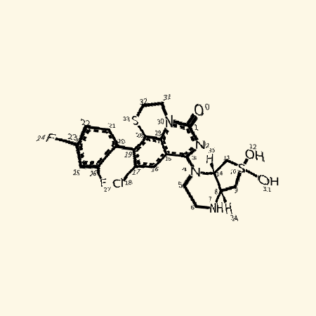 O=c1nc(N2CCN[C@H]3CS(O)(O)C[C@H]32)c2cc(Cl)c(-c3ccc(F)cc3F)c3c2n1CCS3